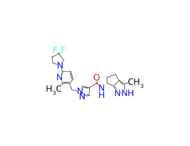 Cc1nc(N2CCC(F)(F)C2)ccc1Cn1cc(C(=O)N[C@@H]2CCc3c2n[nH]c3C)cn1